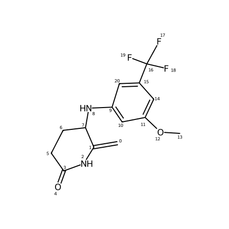 C=C1NC(=O)CCC1Nc1cc(OC)cc(C(F)(F)F)c1